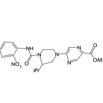 COC(=O)c1cnc(N2CCN(C(=O)Nc3ccccc3[N+](=O)[O-])C(C(C)C)C2)cn1